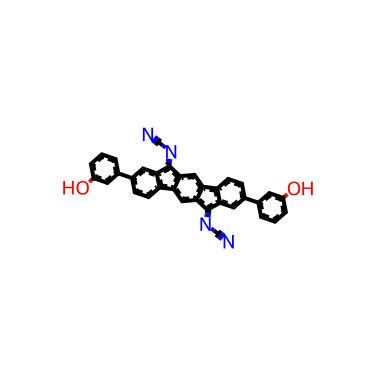 N#C/N=c1\c2cc(-c3cccc(O)c3)ccc2c2cc3/c(=N/C#N)c4cc(-c5cccc(O)c5)ccc4c3cc12